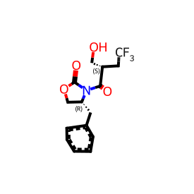 O=C1OC[C@@H](Cc2ccccc2)N1C(=O)[C@H](CO)CC(F)(F)F